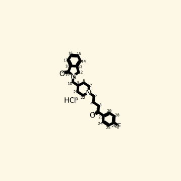 Cl.O=C(CCCN1CCC(CN2Cc3ccccc3C2=O)CC1)c1ccc(F)cc1